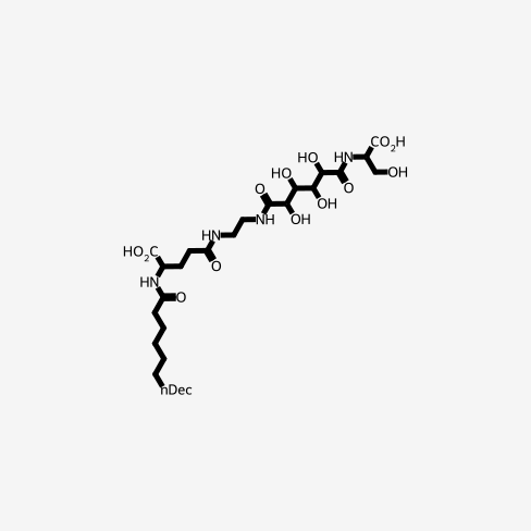 CCCCCCCCCCCCCCCC(=O)NC(CCC(=O)NCCNC(=O)C(O)C(O)C(O)C(O)C(=O)NC(CO)C(=O)O)C(=O)O